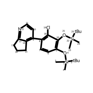 CC(C)(C)[Si](C)(C)Oc1ccc(-c2ccnc3c2CCC3)c(Cl)c1O[Si](C)(C)C(C)(C)C